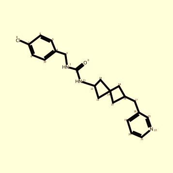 O=C(NCc1ccc(Cl)cc1)NC1CC2(CC(Cc3cccnc3)C2)C1